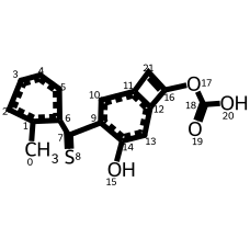 Cc1ccccc1C(=S)c1cc2c(cc1O)C(OC(=O)O)=C2